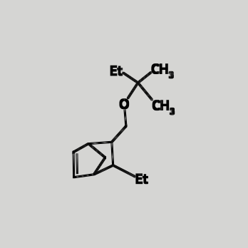 CCC1C2C=CC(C2)C1COC(C)(C)CC